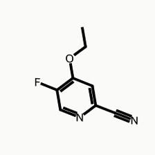 CCOc1cc(C#N)ncc1F